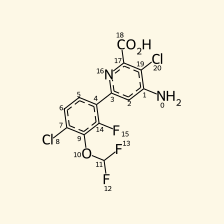 Nc1cc(-c2ccc(Cl)c(OC(F)F)c2F)nc(C(=O)O)c1Cl